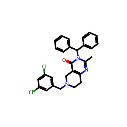 Cc1nc2c(c(=O)n1C(c1ccccc1)c1ccccc1)CN(Cc1cc(Cl)cc(Cl)c1)CC2